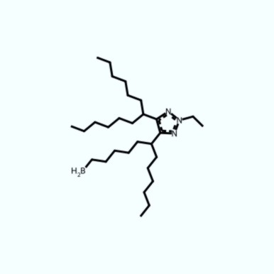 BCCCCCC(CCCCCC)c1nn(CC)nc1C(CCCCCC)CCCCCC